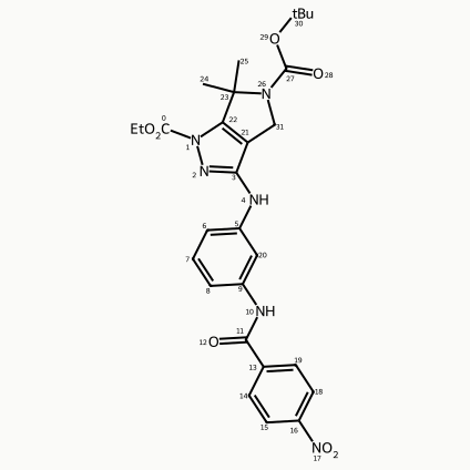 CCOC(=O)n1nc(Nc2cccc(NC(=O)c3ccc([N+](=O)[O-])cc3)c2)c2c1C(C)(C)N(C(=O)OC(C)(C)C)C2